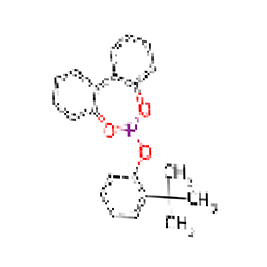 CC(C)(C)c1ccccc1Op1oc2ccccc2c2ccccc2o1